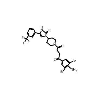 Nc1c(Br)cc(C(=O)CCC(=O)N2CCC(n3cc(-c4cccc(C(F)(F)F)c4)[nH]c3=O)CC2)cc1Br